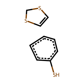 C1=CSCS1.Sc1ccccc1